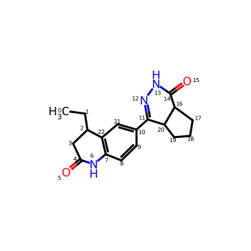 CCC1CC(=O)Nc2ccc(C3=NNC(=O)C4CCCC34)cc21